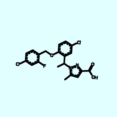 Cc1cc(C(=O)O)nn1C(C)c1cc(Cl)ccc1OCc1ccc(Cl)cc1F